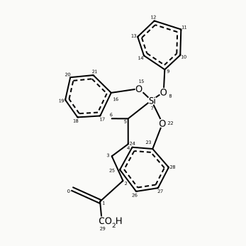 C=C(CCCC(C)[Si](Oc1ccccc1)(Oc1ccccc1)Oc1ccccc1)C(=O)O